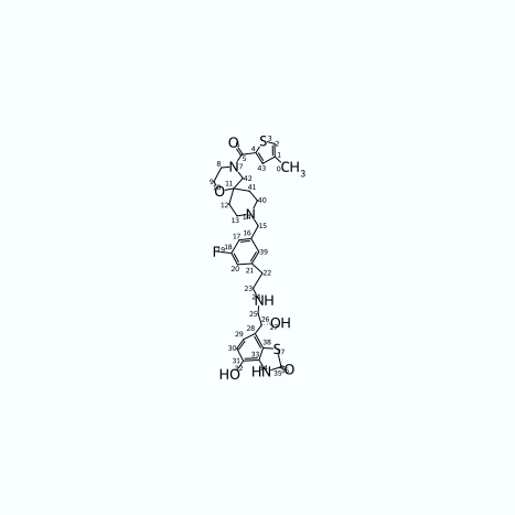 Cc1csc(C(=O)N2CCOC3(CCN(Cc4cc(F)cc(CCNC[C@H](O)c5ccc(O)c6[nH]c(=O)sc56)c4)CC3)C2)c1